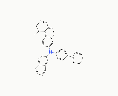 CC1CC=Cc2ccc3cc(N(c4ccc(-c5ccccc5)cc4)C4C=c5ccccc5=CC4)ccc3c21